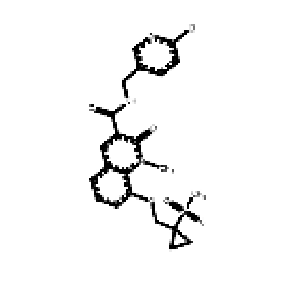 Cn1c(=O)c(C(=O)NCc2ccc(Cl)nc2)cc2cccc(OCC3(S(C)(=O)=O)CC3)c21